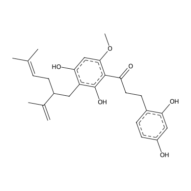 C=C(C)C(CC=C(C)C)Cc1c(O)cc(OC)c(C(=O)CCc2ccc(O)cc2O)c1O